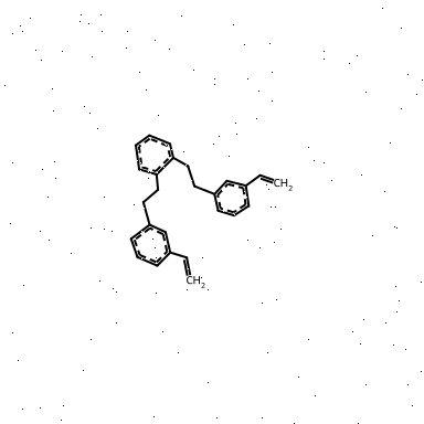 C=Cc1cccc(CCc2ccccc2CCc2cccc(C=C)c2)c1